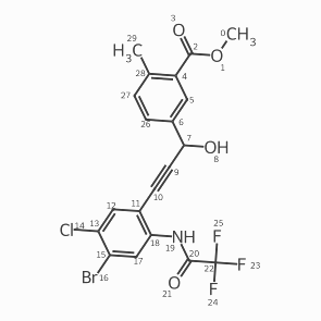 COC(=O)c1cc(C(O)C#Cc2cc(Cl)c(Br)cc2NC(=O)C(F)(F)F)ccc1C